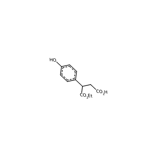 CCOC(=O)C(CC(=O)O)c1ccc(O)cc1